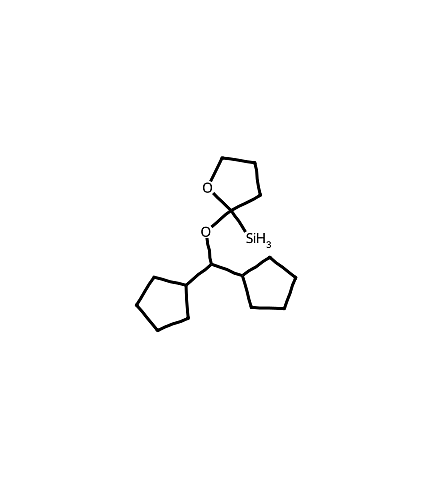 [SiH3]C1(OC(C2CCCC2)C2CCCC2)CCCO1